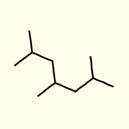 CC(C)CC(C)CC(C)C